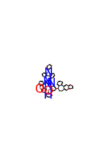 c1ccc(-n2c3ccccc3c3c(C4=NC(c5cccc6oc7ccccc7c56)NC(c5cc(C6CCc7cc8ccccc8cc7-c7ccccc76)cc6c5oc5ccccc56)=N4)cccc32)cc1